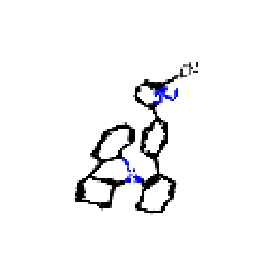 N#Cc1cccc(-c2ccc(C3=C(N4C5C=CC=CC5C5C=CC=CC54)CCC=C3)cc2)n1